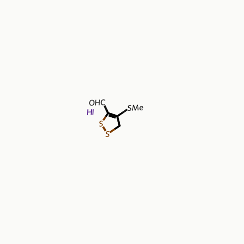 CSC1=C(C=O)SSC1.I